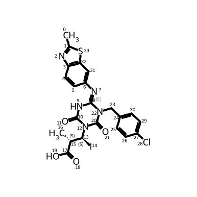 Cc1nc2ccc(/N=c3\[nH]c(=O)n([C@@H](I)[C@@H](C)C(=O)O)c(=O)n3Cc3ccc(Cl)cc3)cc2s1